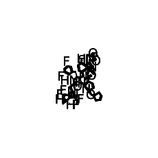 Cn1nc(NS(C)(=O)=O)c2c(Cl)ccc(-n3c([C@H](Cc4cc(F)cc(F)c4)NC(=O)Cn4nc(C(F)F)c5c4C(F)(F)[C@@H]4C[C@H]54)nc4nc(OC5CC=CC5)ccc4c3=O)c21